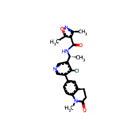 Cc1noc(C)c1C(=O)N[C@H](C)c1cncc(-c2ccc3c(c2)CCC(=O)N3C)c1Cl